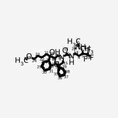 CNC[C@H](CC(C)C(F)(F)F)NC(=O)N1CCC[C@@H]([C@@](O)(CCCCOC)c2ccccc2Oc2ccccc2)C1